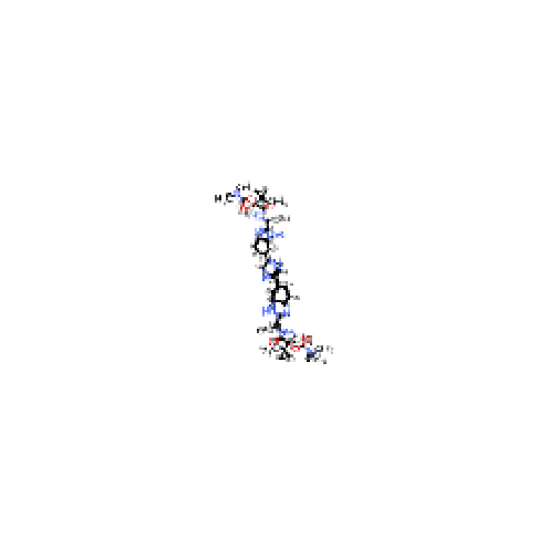 CN(C)C(=O)OC(C)(C(=O)N[C@H](c1nc2ccc(-c3cnc(-c4ccc5nc([C@@H](NC(=O)C(C)(OC(=O)N(C)C)C6(C)CC6)C(C)(C)C)[nH]c5c4)cn3)cc2[nH]1)C(C)(C)C)C1(C)CC1